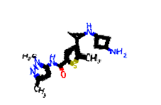 Cc1cc(NC(=O)c2cc(C3CC3NC3CC(N)C3)c(C)s2)n(C)n1